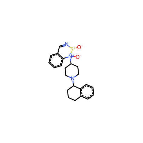 [O-][S+]1N=Cc2ccccc2[N+]1([O-])C1CCN(C2CCCc3ccccc32)CC1